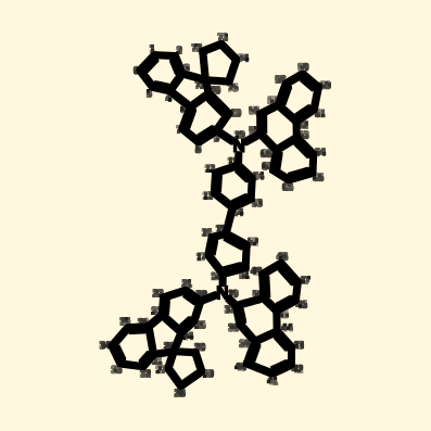 c1ccc2c(c1)-c1ccc(N(c3ccc(-c4ccc(N(c5ccc6c(c5)C5(CCCC5)c5ccccc5-6)c5cc6ccccc6c6ccccc56)cc4)cc3)c3cc4ccccc4c4ccccc34)cc1C21CCCC1